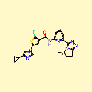 C[C@@H]1CCc2nnc(-c3cccc(NC(=O)c4cc(-n5cnc(C6CC6)c5)sc4F)n3)n21